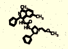 COCCN1C[C@@H](NC(=O)Nc2c(-c3ccccc3)nc(C)c3ccc(C)cc23)[C@H](c2ccccc2)C1